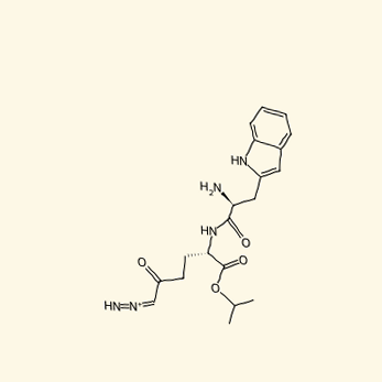 CC(C)OC(=O)[C@H](CCC(=O)C=[N+]=N)NC(=O)[C@@H](N)Cc1cc2ccccc2[nH]1